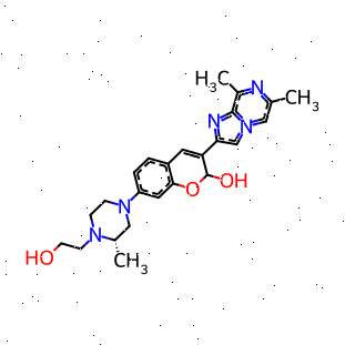 Cc1cn2cc(C3=Cc4ccc(N5CCN(CCO)[C@@H](C)C5)cc4OC3O)nc2c(C)n1